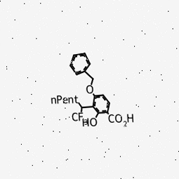 CCCCCC(c1c(OCc2ccccc2)ccc(C(=O)O)c1O)C(F)(F)F